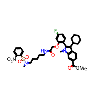 COC(=O)c1ccc2c(C3CCCCC3)c(-c3ccc(F)cc3OCC(=O)NCCCCCN(C)S(=O)(=O)c3ccccc3[N+](=O)[O-])n(C)c2c1